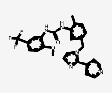 COc1ccc(C(F)(F)F)cc1NC(=O)Nc1cc(Cn2ccnc2-c2ccncc2)ccc1C